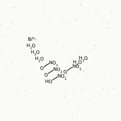 O.O.O.O.O.O=[N+]([O-])O.O=[N+]([O-])[O-].O=[N+]([O-])[O-].O=[N+]([O-])[O-].[Bi+3]